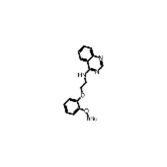 CCCCOc1ccccc1OCCNc1ncnc2ccccc12